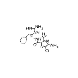 N=C(N)N[C@H](CNC(=O)c1nc(Cl)c(N)nc1N)CC1CCCCC1